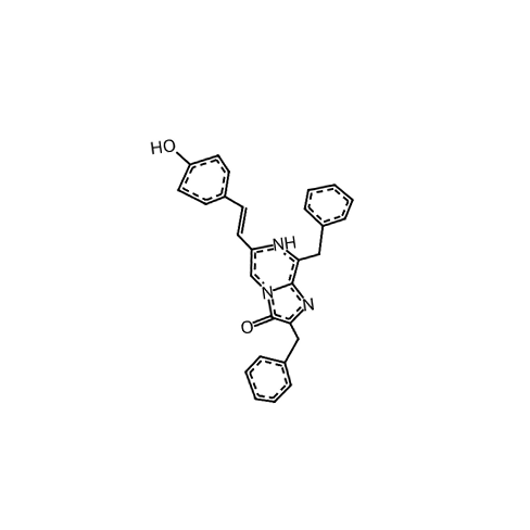 O=c1c(Cc2ccccc2)nc2c(Cc3ccccc3)[nH]c(/C=C/c3ccc(O)cc3)cn1-2